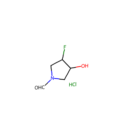 Cl.O=CN1CC(O)C(F)C1